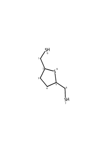 SCC1CCC(CS)S1